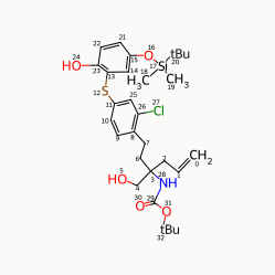 C=CCC(CO)(CCc1ccc(Sc2cc(O[Si](C)(C)C(C)(C)C)ccc2O)cc1Cl)NC(=O)OC(C)(C)C